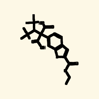 CCOC(=O)c1cc2ccc(C(C(=O)O)(C(=O)O)C(C(C)(C)C)C(C)(C)C)cc2s1